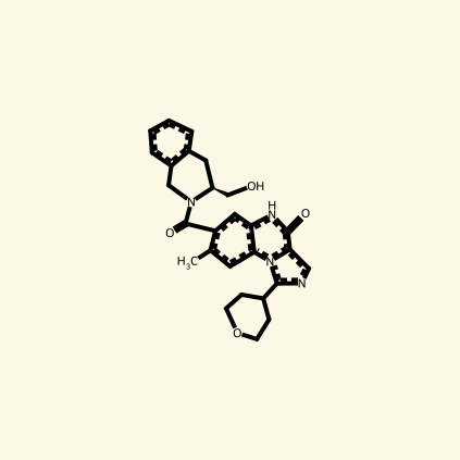 Cc1cc2c(cc1C(=O)N1Cc3ccccc3C[C@H]1CO)[nH]c(=O)c1cnc(C3CCOCC3)n12